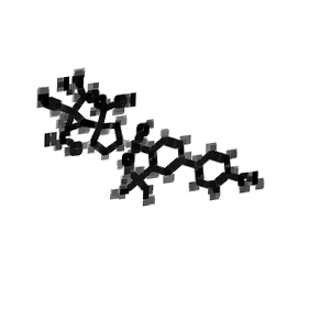 CO[C@H]1C[C@@H](S(=O)(=O)c2ccc(-c3ccc(C)nc3)cc2C(F)(F)F)C[C@]1(C(=O)O)C1CC1(C#N)C(N)=O